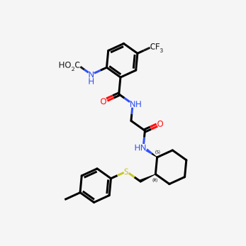 Cc1ccc(SC[C@@H]2CCCC[C@@H]2NC(=O)CNC(=O)c2cc(C(F)(F)F)ccc2NC(=O)O)cc1